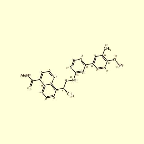 CNC(=O)c1ccnc2c([C@H](C)CNc3cc(-c4cnc(OC(C)C)c(C)c4)ncn3)cccc12